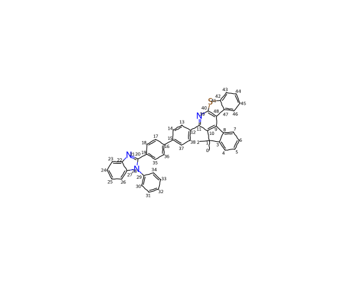 CC1(C)c2ccccc2-c2c1c(-c1ccc(-c3ccc(-c4nc5ccccc5n4-c4ccccc4)cc3)cc1)nc1sc3ccccc3c21